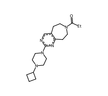 CCC(=O)N1CCc2cnc(N3CCN(C4CCC4)CC3)nc2CC1